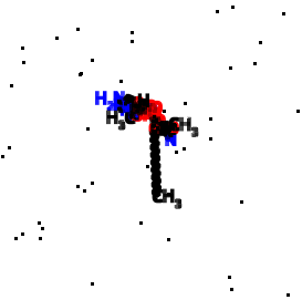 CCCCCCCCCCCCCCCCCCOC[C@H](COP(=O)(O)OC1[C@H]2O[C@@](C=NC)(c3ccc4c(N)ncnn34)[C@H](O)[C@@]12O)Oc1ccc(C#N)c(OC)c1